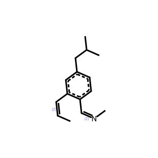 C/C=C\c1cc(CC(C)C)ccc1/C=N\C